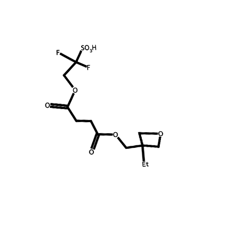 CCC1(COC(=O)CCC(=O)OCC(F)(F)S(=O)(=O)O)COC1